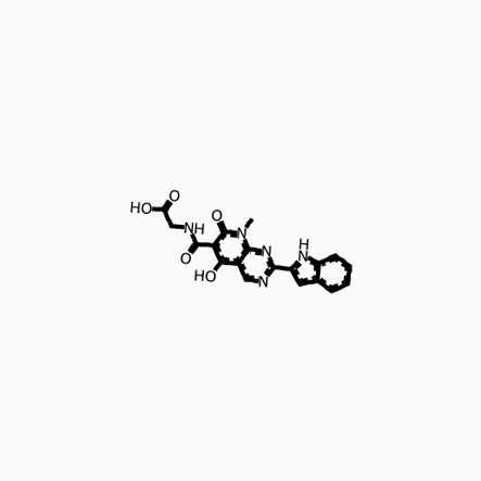 Cn1c(=O)c(C(=O)NCC(=O)O)c(O)c2cnc(-c3cc4ccccc4[nH]3)nc21